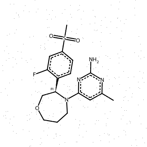 Cc1cc(N2CCCOC[C@H]2c2ccc(S(C)(=O)=O)cc2F)nc(N)n1